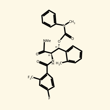 CNC(=O)[C@H](NC(=O)c1ccc(F)cc1C(F)(F)F)[C@H](OC(=O)N(C)c1ccccc1)c1ccccc1C